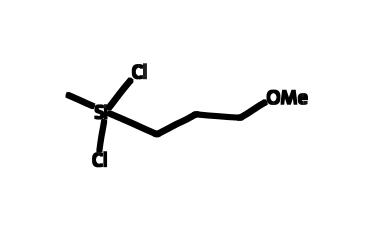 COCCC[Si](C)(Cl)Cl